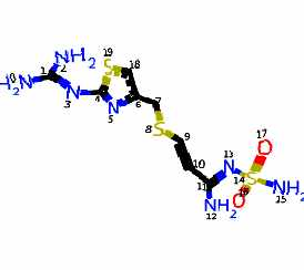 NC(N)=Nc1nc(CSC=CC(N)=NS(N)(=O)=O)cs1